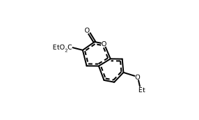 CCOC(=O)c1cc2ccc(OCC)cc2oc1=O